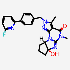 Cc1c2c(nn1Cc1ccc(-c3cccc(F)n3)cc1)N1C(=N[C@]3(O)CCC[C@H]13)N(C)C2=O